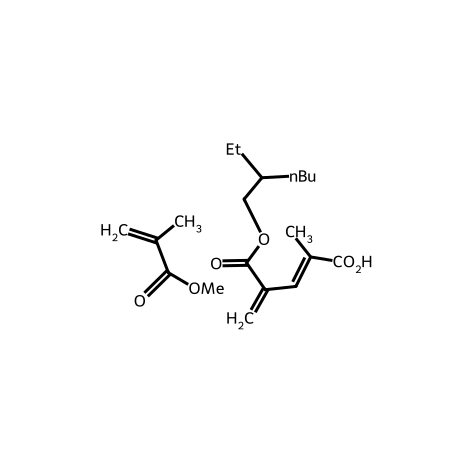 C=C(C)C(=O)OC.C=C(C=C(C)C(=O)O)C(=O)OCC(CC)CCCC